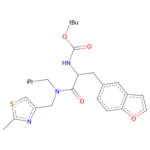 Cc1nc(CN(CC(C)C)C(=O)C(Cc2ccc3occc3c2)NC(=O)OC(C)(C)C)cs1